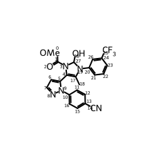 COC(=O)N1C(c2ccnn2-c2ccc(C#N)cc2)=C(C)N(c2cccc(C(F)(F)F)c2)C1O